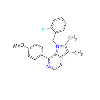 COc1ccc(-c2nccc3c(C)c(C)n(Cc4ccccc4F)c23)cc1